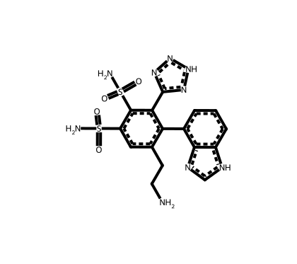 NCCc1cc(S(N)(=O)=O)c(S(N)(=O)=O)c(-c2nn[nH]n2)c1-c1cccc2[nH]cnc12